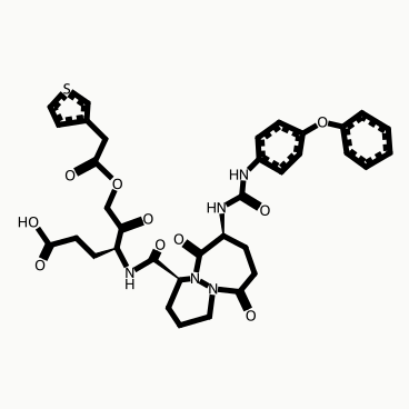 O=C(O)CC[C@H](NC(=O)[C@@H]1CCCN2C(=O)CC[C@H](NC(=O)Nc3ccc(Oc4ccccc4)cc3)C(=O)N12)C(=O)COC(=O)Cc1ccsc1